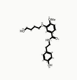 COc1ccc(C(=O)NCCc2ccc(O)cc2)cc1OCCCCO